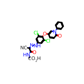 N#CC(=NNc1cc(Cl)c(Oc2ccc(=O)n(-c3ccccc3)c2)c(Cl)c1)C(=O)NC(=O)O